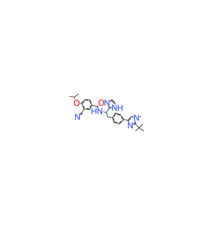 CC(C)Oc1ccc(C(=O)NC(Cc2ccc(-c3cn(C)c(C(C)(C)C)n3)cc2)c2ncc[nH]2)cc1C#N